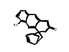 CCc1cccc2cc3c(cc12)C1(CC(=O)C3)CC2C=CC1C2